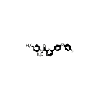 CN1CCC(N(C)C(=O)c2nccc(-c3ccc(Oc4ccc(F)cc4)cc3)n2)CC1